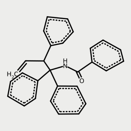 C=CC(c1ccccc1)C(NC(=O)c1ccccc1)(c1ccccc1)c1ccccc1